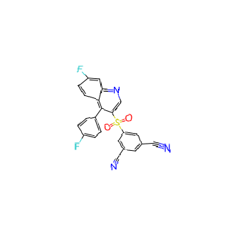 N#Cc1cc(C#N)cc(S(=O)(=O)c2cnc3cc(F)ccc3c2-c2ccc(F)cc2)c1